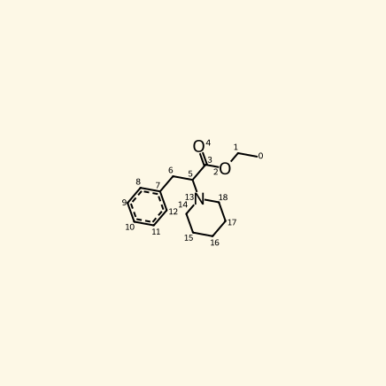 CCOC(=O)C(Cc1ccccc1)N1CCCCC1